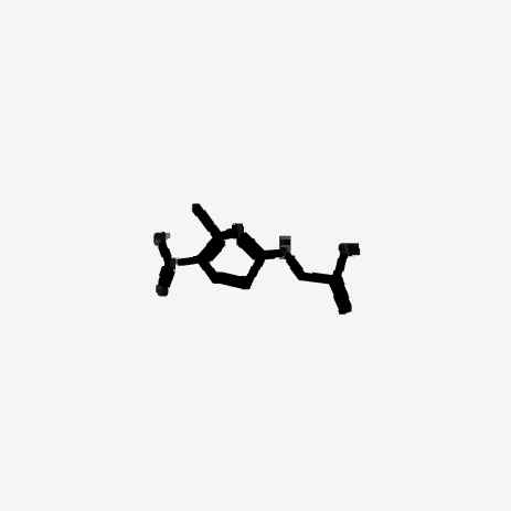 C=C(O)CNc1ccc([N+](=O)[O-])c(C)n1